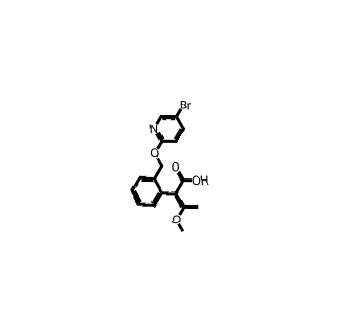 COC(C)=C(C(=O)O)c1ccccc1COc1ccc(Br)cn1